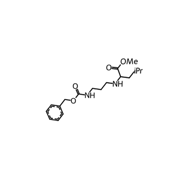 COC(=O)C(CC(C)C)NCCCNC(=O)OCc1ccccc1